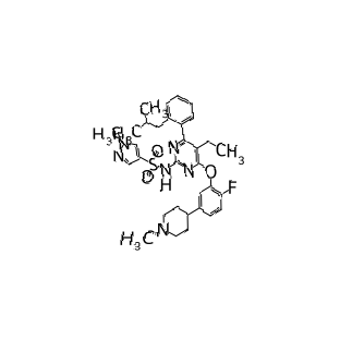 CCc1c(Oc2cc(C3CCN(C)CC3)ccc2F)nc(NS(=O)(=O)c2cnn(C)c2)nc1-c1ccccc1CC(C)C